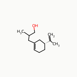 C=C(C)[C@@H]1CCC=C(CC(C)CO)C1